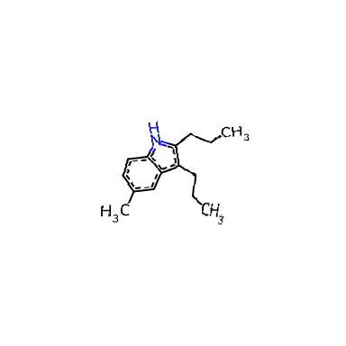 CCCc1[nH]c2ccc(C)cc2c1CCC